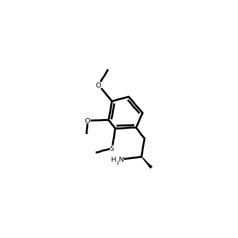 COc1ccc(C[C@@H](C)N)c(SC)c1OC